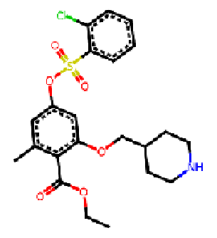 CCOC(=O)c1c(C)cc(OS(=O)(=O)c2ccccc2Cl)cc1OCC1CCNCC1